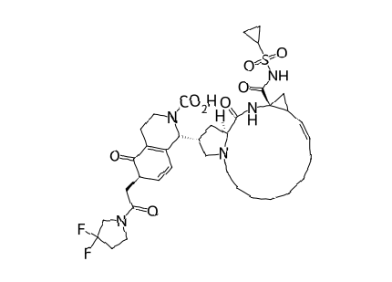 O=C1C2=C(C=C[C@H]1CC(=O)N1CCC(F)(F)C1)C([C@@H]1C[C@H]3C(=O)N[C@]4(C(=O)NS(=O)(=O)C5CC5)CC4/C=C\CCCCCCCN3C1)N(C(=O)O)CC2